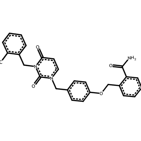 NC(=O)c1ccccc1COc1ccc(Cn2ccc(=O)n(Cc3ccccc3C(F)(F)F)c2=O)cc1